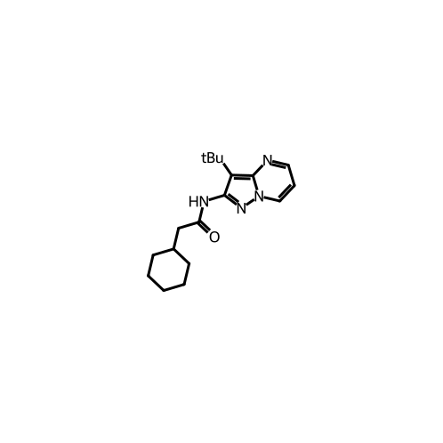 CC(C)(C)c1c(NC(=O)CC2CCCCC2)nn2cccnc12